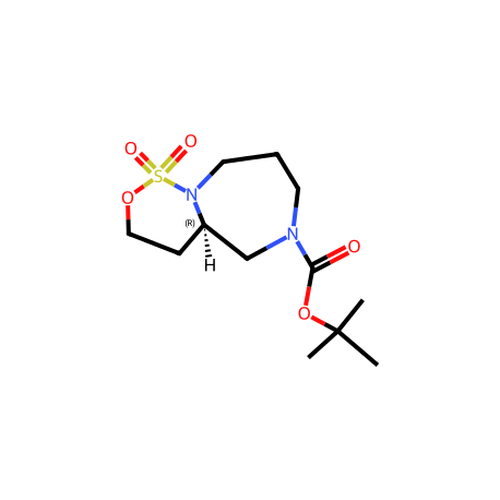 CC(C)(C)OC(=O)N1CCCN2[C@H](CCOS2(=O)=O)C1